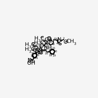 COCc1nc(CN2CCN([C@H](C(=O)N[C@@H](Cc3ccccc3)[C@H](O)CN(CC(C)C)S(=O)(=O)c3ccc(C=NO)cc3)C(C)(C)C)C2=O)cs1